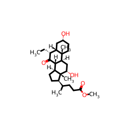 CC[C@H]1C(=O)[C@@H]2[C@H](C[C@H](O)[C@]3(C)[C@@H](C(C)CCC(=O)OC)CC[C@@H]23)[C@@]2(C)CC[C@@H](O)C[C@@H]12